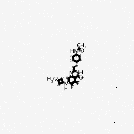 CC(=O)N[C@H]1CC[C@H](SCc2nc3cc(N[C@H]4C[C@@H](C)C4)c(F)c(F)c3c(=O)[nH]2)CC1